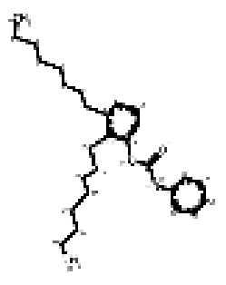 CCCCCCCCc1cccc(OC(=O)Nc2ccccc2)c1CCCCCCCC